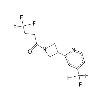 O=C(CCC(F)(F)F)N1CC(c2cc(C(F)(F)F)ccn2)C1